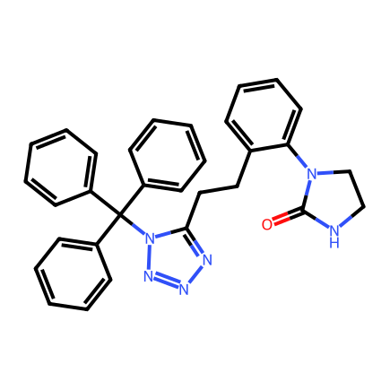 O=C1NCCN1c1ccccc1CCc1nnnn1C(c1ccccc1)(c1ccccc1)c1ccccc1